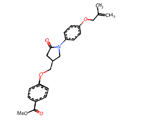 C=C(C)COc1ccc(N2CC(COc3ccc(C(=O)OC)cc3)CC2=O)cc1